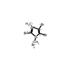 Cn1c(Br)c(Br)[n+](C)c1Br.[Br-]